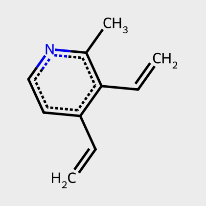 C=Cc1ccnc(C)c1C=C